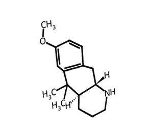 COc1ccc2c(c1)C(C)(C)[C@@H]1CCCN[C@H]1C2